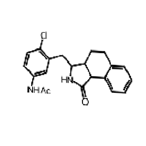 CC(=O)Nc1ccc(Cl)c(CC2NC(=O)C3c4ccccc4CCC23)c1